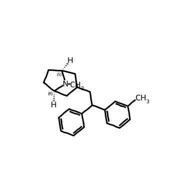 Cc1cccc(C(CC2C[C@H]3CC[C@@H](C2)N3C)c2ccccc2)c1